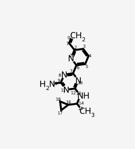 C=Cc1cccc(-c2nc(N)nc(NC(C)C3CC3)n2)n1